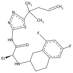 C=CCC(C)(C)c1nnc(NC(=O)[C@H](CC)NC2CCc3cc(F)cc(F)c3C2)s1